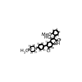 COc1ccccc1-c1c(O)c2cc(-c3ccc(N4CCN(C)CC4)cc3)c(Cl)cc2[nH]c1=O